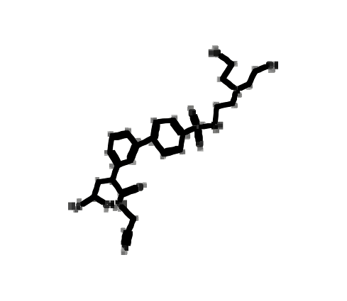 CC(C)CC(C(=O)NCC#N)c1cccc(-c2ccc(S(=O)(=O)NCCN(CCO)CCO)cc2)c1